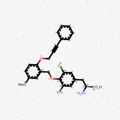 COc1ccc(OCC#Cc2ccccc2)c(COc2c(Cl)cc(C[C@H](N)C(=O)O)cc2Cl)c1